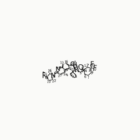 O=C(NC[C@@]1(O)CCCC(F)(F)C1)c1c(Cl)ccc2nc(N3CC[C@H](F)C3)ccc12